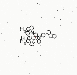 CC1(C)c2ccccc2-c2c(-c3ccccc3N(c3ccc(-c4cccc5c4ccc4ccccc45)cc3)c3ccc(N4c5ccccc5C5(C)C=CC=CC45)cc3)cccc21